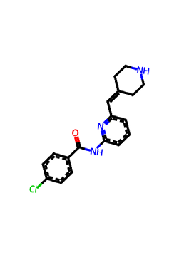 O=C(Nc1cccc(C=C2CCNCC2)n1)c1ccc(Cl)cc1